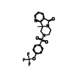 CC12CN(S(=O)(=O)c3ccc(OC(F)(F)F)cc3)CCN1C(=O)c1cccnc12